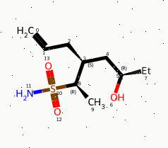 C=CC[C@@H](C[C@H](O)CC)[C@@H](C)S(N)(=O)=O